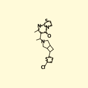 Cc1nc2sccn2c(=O)c1C(C)N1CC2CC(c3ccc(Cl)s3)C2C1